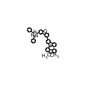 CC1(C)c2ccccc2-c2c(-n3c4ccccc4c4cc(-c5ccc6oc7ccc(-c8nc(-c9ccccc9)nc(-c9ccccc9)n8)cc7c6c5)ccc43)cccc21